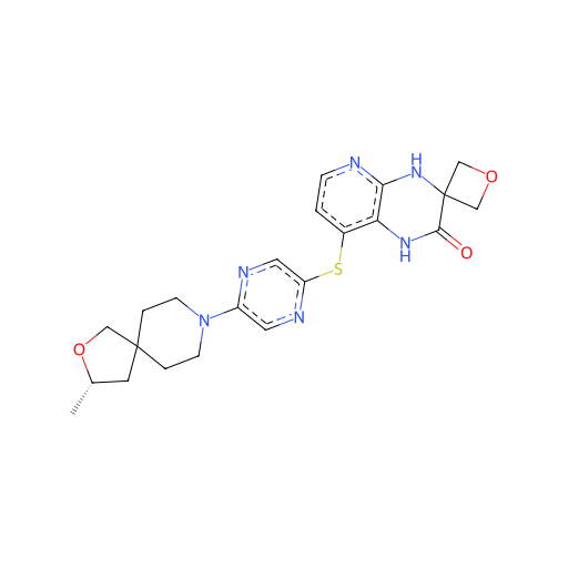 C[C@H]1CC2(CCN(c3cnc(Sc4ccnc5c4NC(=O)C4(COC4)N5)cn3)CC2)CO1